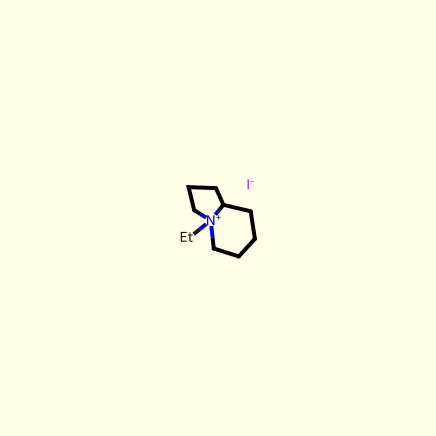 CC[N+]12CCCCC1CCC2.[I-]